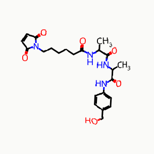 CC(NC(=O)CCCCCN1C(=O)C=CC1=O)C(=O)NC(C)C(=O)Nc1ccc(CO)cc1